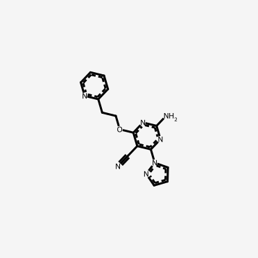 N#Cc1c(OCCc2ccccn2)nc(N)nc1-n1cccn1